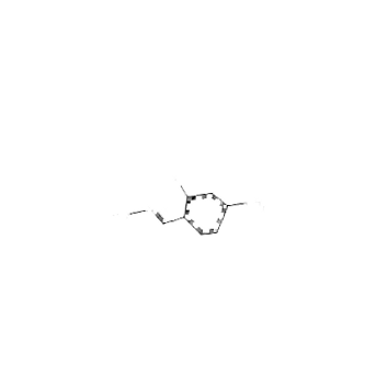 Cc1ccc(C=NO)c(F)c1